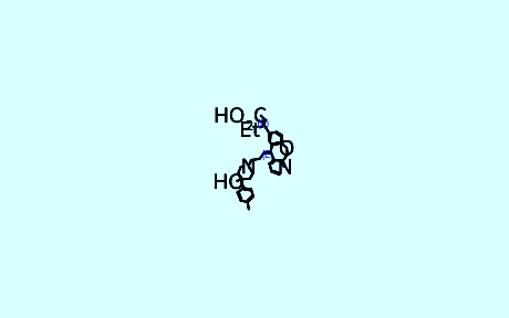 CC/C(=C\C(=O)O)c1ccc2c(c1)/C(=C/CCN1CCC(O)(c3ccc(C)cc3)CC1)c1cccnc1CO2